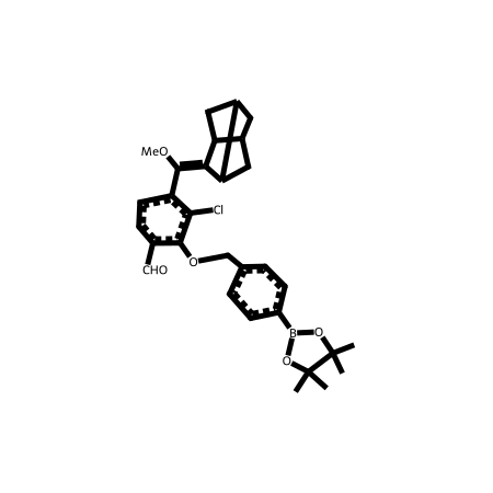 COC(=C1C2CC3CC2CC13)c1ccc(C=O)c(OCc2ccc(B3OC(C)(C)C(C)(C)O3)cc2)c1Cl